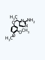 COc1ccc(O[C@H](C)c2ccnc(N)n2)cc1OC